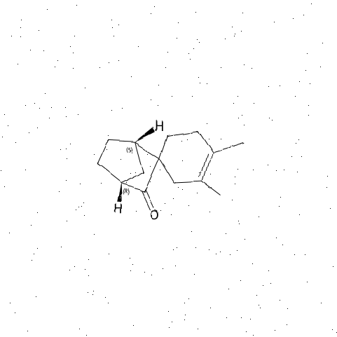 CC1=C(C)CC2(CC1)C(=O)[C@@H]1CC[C@H]2C1